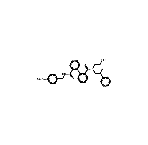 COc1ccc(CNC(=O)c2ccccc2-c2ccccc2C(=O)N(CCC(=O)O)CC(C)c2ccccc2)cc1